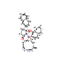 C=C1/C=C\C=C/CC2=C(/C=C\1)P1(=S)c3ccc4ccccc4c3Oc3c(-c4ccc5ccccc5c4)ccc(c31)O2